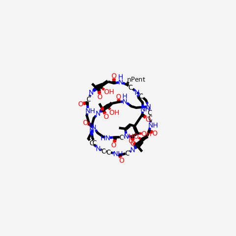 CCCCCC1CN2CCNC(=O)c3cc(C)n(c(=O)c3O)CC(=O)NCCN(CCNC(=O)Cn3c(C)cc(c(O)c3=O)C(=O)N1)CCN1CCNC(=O)Cn3c(C)cc(c(O)c3=O)C(=O)NCCN(CCNC(=O)c3cc(C)n(c(=O)c3O)CC(=O)NCC1)CC2